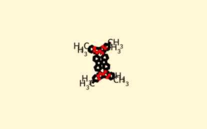 Cc1ccc(C(c2ccc(C)cc2)c2ccc3c(c2)C2(c4cc(C(c5ccc(C)cc5)c5ccc(C)cc5)ccc4-3)c3cc(N(c4ccc(C)cc4)c4ccc(C)cc4)ccc3-c3ccc(N(c4ccc(C)cc4)c4ccc(C)cc4)cc32)cc1